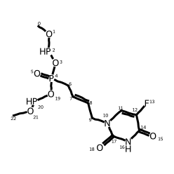 COPOP(=O)(C/C=C/Cn1cc(F)c(=O)[nH]c1=O)OPOC